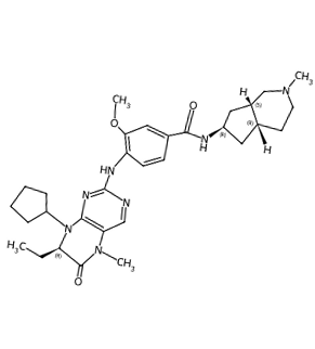 CC[C@@H]1C(=O)N(C)c2cnc(Nc3ccc(C(=O)N[C@@H]4C[C@H]5CCN(C)C[C@H]5C4)cc3OC)nc2N1C1CCCC1